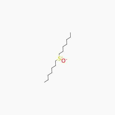 CCCCCCC[S+]([O-])CCCCCCC